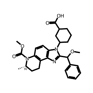 COC(=O)N1c2ccc3c(nc(C(OC)c4ccccc4)n3C3CCCC(C(=O)O)C3)c2CC[C@@H]1C